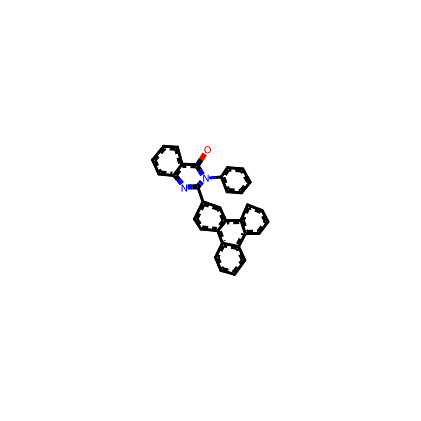 O=c1c2ccccc2nc(-c2ccc3c4ccccc4c4ccccc4c3c2)n1-c1ccccc1